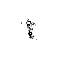 CN1CC(=O)N(C)c2cnc(NCc3ccc(S(N)(=O)=O)cc3)nc21